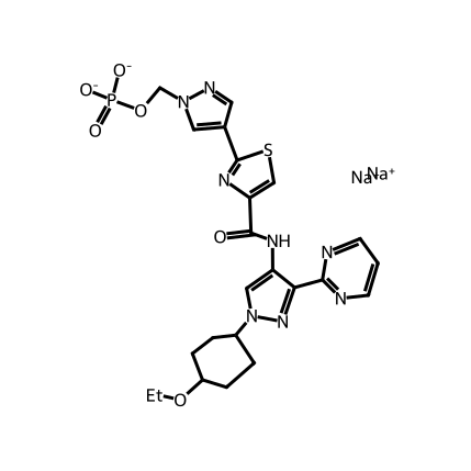 CCOC1CCC(n2cc(NC(=O)c3csc(-c4cnn(COP(=O)([O-])[O-])c4)n3)c(-c3ncccn3)n2)CC1.[Na+].[Na+]